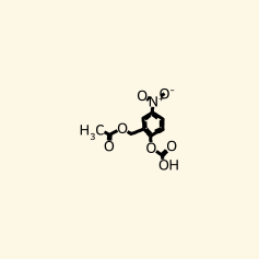 CC(=O)OCc1cc([N+](=O)[O-])ccc1OC(=O)O